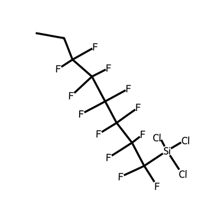 CCC(F)(F)C(F)(F)C(F)(F)C(F)(F)C(F)(F)C(F)(F)[Si](Cl)(Cl)Cl